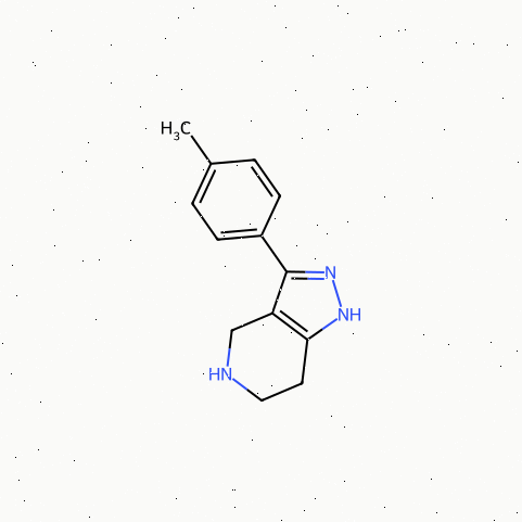 Cc1ccc(-c2n[nH]c3c2CNCC3)cc1